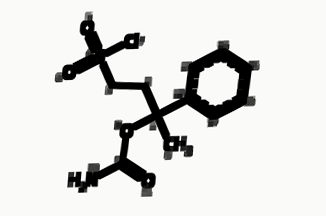 CC(CCS(=O)(=O)Cl)(OC(N)=O)c1ccccc1